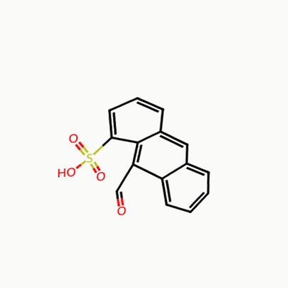 O=Cc1c2ccccc2cc2cccc(S(=O)(=O)O)c12